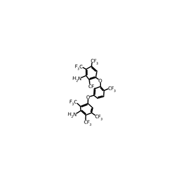 Nc1c(C(F)(F)F)c(Oc2ccc(C(F)(F)F)c(Oc3cc(C(F)(F)F)c(C(F)(F)F)c(N)c3C(F)(F)F)c2)cc(C(F)(F)F)c1C(F)(F)F